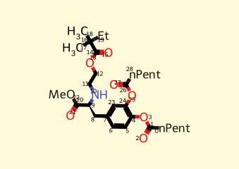 CCCCCC(=O)Oc1ccc(C[C@H](NCCOC(=O)C(C)(C)CC)C(=O)OC)cc1OC(=O)CCCCC